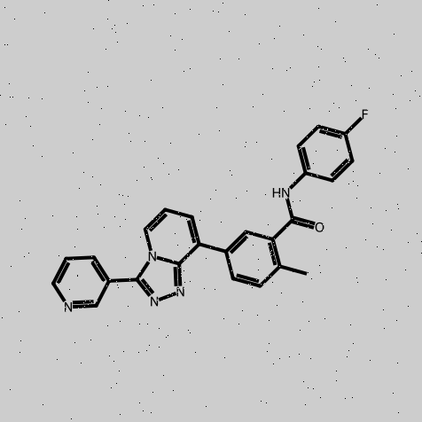 Cc1ccc(-c2cccn3c(-c4cccnc4)nnc23)cc1C(=O)Nc1ccc(F)cc1